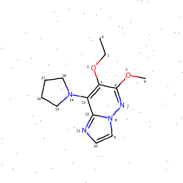 CCOc1c(OC)nn2ccnc2c1N1CCCC1